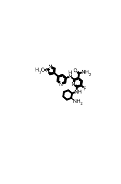 Cn1cc(-c2cncc(Nc3nc(NC4CCCC[C@@H]4N)c(F)cc3C(N)=O)c2)cn1